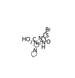 O=C(O)N1CC(N2CCCCC2)C[C@H]1c1nc2cc(Br)sc2c(=O)[nH]1